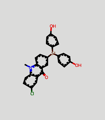 Cn1c2ccc(Cl)cc2c(=O)c2cc([S+](c3ccc(O)cc3)c3ccc(O)cc3)ccc21